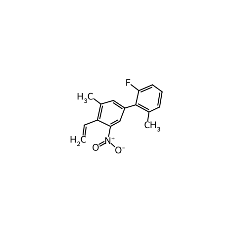 C=Cc1c(C)cc(-c2c(C)cccc2F)cc1[N+](=O)[O-]